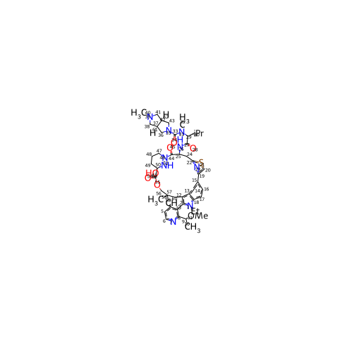 CCn1c(-c2cccnc2[C@H](C)OC)c2c3cc(ccc31)-c1csc(n1)C[C@H](NC(=O)[C@H](C(C)C)N(C)C(=O)N1C[C@H]3CN(C)C[C@H]3C1)C(=O)N1CCC[C@@](O)(N1)C(=O)OCC(C)(C)C2